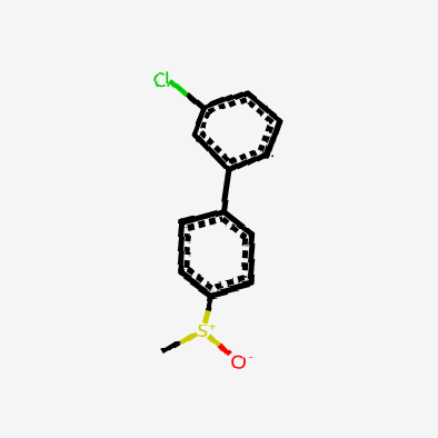 C[S+]([O-])c1ccc(-c2[c]ccc(Cl)c2)cc1